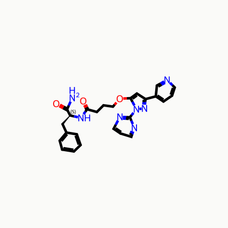 NC(=O)[C@H](Cc1ccccc1)NC(=O)CCCOc1cc(-c2cccnc2)nn1-c1ncccn1